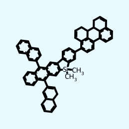 C[Si]1(C)c2cc(-c3ccc4c5c3C=CCC5C3CC=Cc5cccc-4c53)ccc2-c2cc3c(-c4ccc5ccccc5c4)c4ccccc4c(C4=CCC5C=CC=CC5=C4)c3cc21